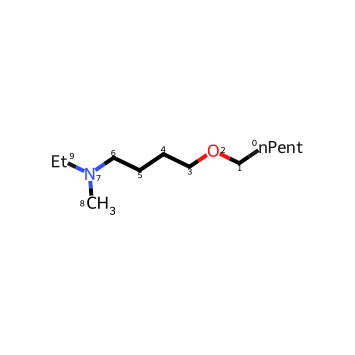 CCCCCCOCCCCN(C)CC